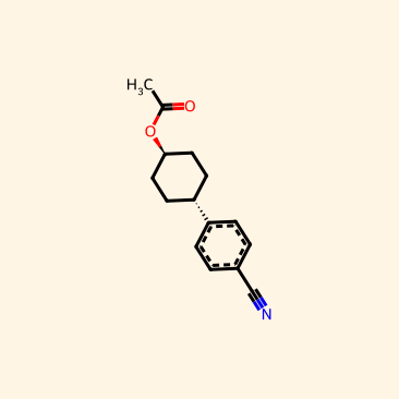 CC(=O)O[C@H]1CC[C@H](c2ccc(C#N)cc2)CC1